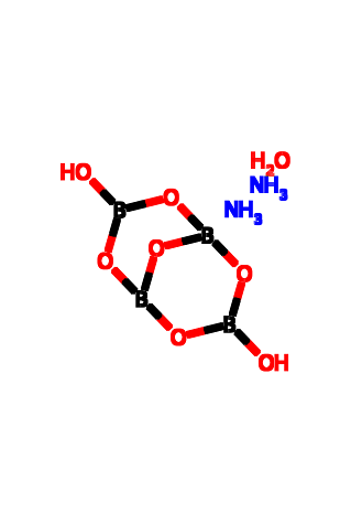 N.N.O.OB1OB2OB(O)OB(O1)O2